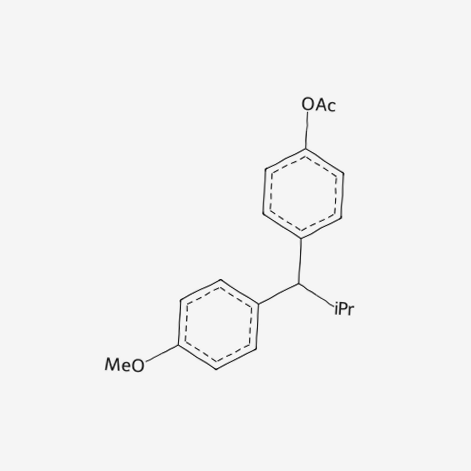 COc1ccc(C(c2ccc(OC(C)=O)cc2)C(C)C)cc1